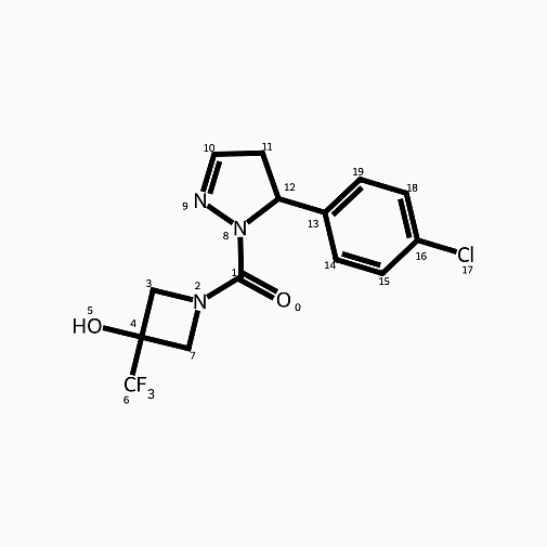 O=C(N1CC(O)(C(F)(F)F)C1)N1N=CCC1c1ccc(Cl)cc1